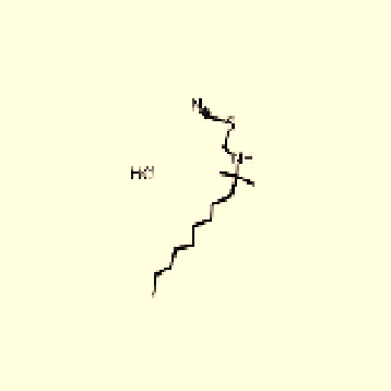 CCCCCCCCCC(C)(C)NCSC#N.Cl